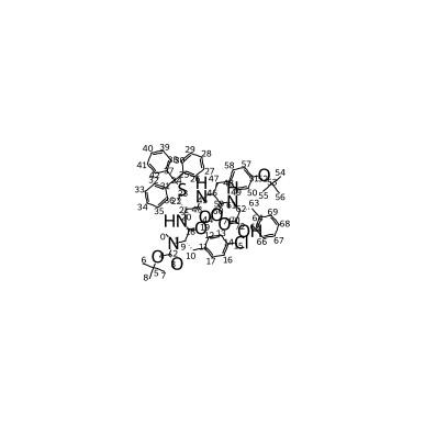 CN(C(=O)OC(C)(C)C)[C@@H](Cc1ccc(Cl)cc1)C(=O)N[C@H](CSC(c1ccccc1)(c1ccccc1)c1ccccc1)C(=O)N[C@@H](Cc1ccc(OC(C)(C)C)cc1)C(=O)N[C@H](Cc1ccccc1)C(=O)O